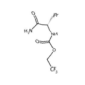 CC(C)[C@H](NC(=O)OCC(F)(F)F)C(N)=O